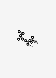 C=Cc1c(/C=C\C)c2cc(N(c3ccccc3)c3ccc(-c4ccc(N(c5ccccc5)c5ccc6c(c5)c5ccccc5n6-c5ccccc5)cc4)cc3)ccc2n1-c1ccccc1